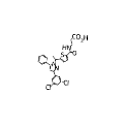 CC(c1ccc(C(=O)NCCC(=O)O)s1)n1nc(-c2cc(Cl)cc(Cl)c2)cc1-c1ccccc1